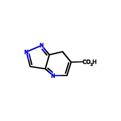 O=C(O)C1=CN=C2C=NN=C2C1